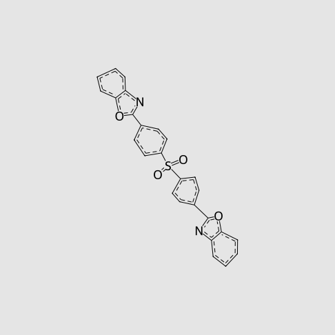 O=S(=O)(c1ccc(-c2nc3ccccc3o2)cc1)c1ccc(-c2nc3ccccc3o2)cc1